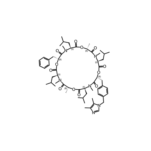 Cc1ncn(Cc2ccc(C[C@H]3OC(=O)[C@H](CC(C)C)N(C)C(=O)[C@@H](C)OC(=O)[C@H](CC(C)C)N(C)C(=O)[C@@H](Cc4ccccc4)OC(=O)[C@H](CC(C)C)N(C)C(=O)[C@@H](C)OC(=O)[C@H](CC(C)C)N(C)C3=O)cc2)c1C